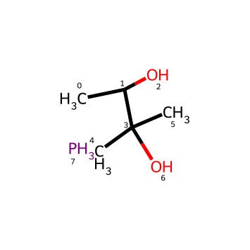 CC(O)C(C)(C)O.P